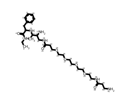 CCNC(=O)C(Cc1ccccc1)NC(C)C(N)CNC(=O)CCOCCOCCOCCOCCNC(=O)CCN